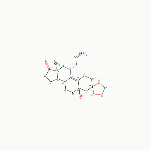 C=CC[C@H]1C[C@]2(C)C(=O)CCC2C2CC[C@@]3(O)CC4(CCC3=C21)OCCO4